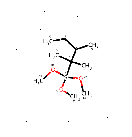 CCC(C)C(C)(C)[Si](OC)(OC)OC